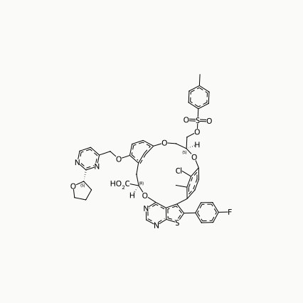 Cc1ccc(S(=O)(=O)OC[C@@H]2COc3ccc(OCc4ccnc([C@@H]5CCCO5)n4)c(c3)C[C@H](C(=O)O)Oc3ncnc4sc(-c5ccc(F)cc5)c(c34)-c3ccc(c(Cl)c3C)O2)cc1